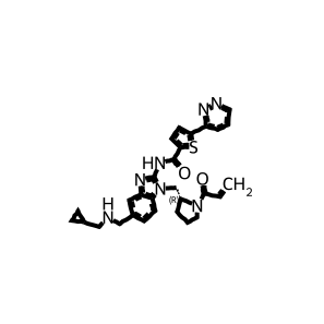 C=CC(=O)N1CCC[C@@H]1Cn1c(NC(=O)c2ccc(-c3cccnn3)s2)nc2cc(CNCC3CC3)ccc21